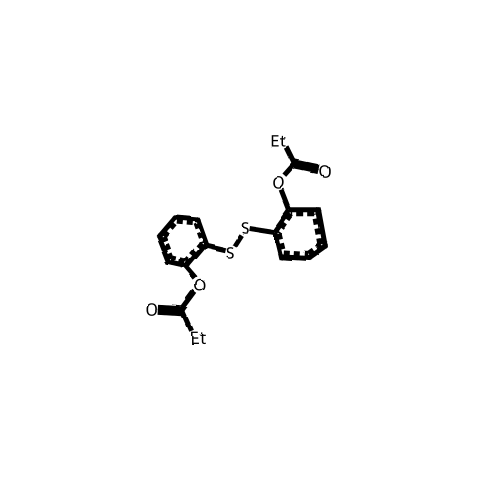 CCC(=O)Oc1ccccc1SSc1ccccc1OC(=O)CC